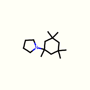 CC1(C)CC(C)(C)CC(C)(N2CCCC2)C1